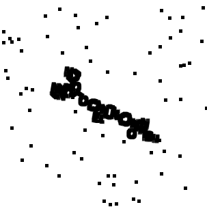 CCc1cc(OCC2COC(Cn3nccn3)(c3cccnc3)O2)ccc1N1CCN(c2ccc(-n3cnn(C(C)CC)c3=O)cc2)CC1